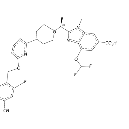 C[C@@H](c1nc2c(OC(F)F)cc(C(=O)O)cc2n1C)N1CCC(c2cccc(OCc3ccc(C#N)cc3F)n2)CC1